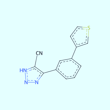 N#Cc1[nH]nnc1-c1cccc(-c2ccsc2)c1